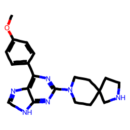 COc1ccc(-c2nc(N3CCC4(CCNC4)CC3)nc3[nH]cnc23)cc1